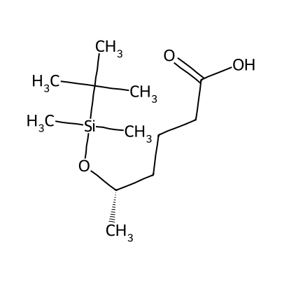 C[C@@H](CCCC(=O)O)O[Si](C)(C)C(C)(C)C